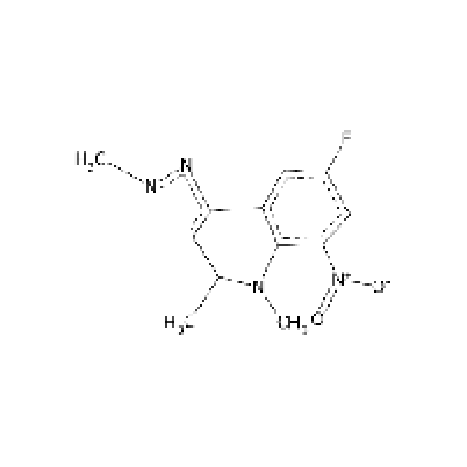 CC1c2cn(C)nc2-c2cc(F)cc([N+](=O)[O-])c2N1C